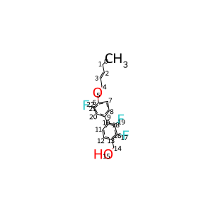 CCC=CCOc1ccc(-c2ccc(CO)c(F)c2F)cc1F